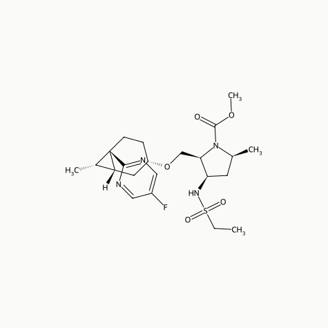 CCS(=O)(=O)N[C@@H]1C[C@H](C)N(C(=O)OC)[C@@H]1CO[C@H]1CC[C@]2(c3ncc(F)cn3)[C@H](C1)[C@@H]2C